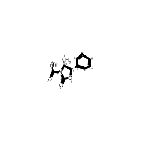 CCCC(=O)N1C(=O)O[C@@H](c2ccccc2)[C@H]1C